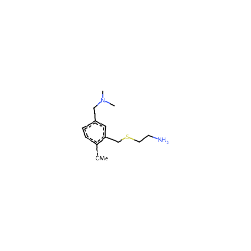 COc1ccc(CN(C)C)cc1CSCCN